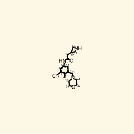 Cc1c(Cl)cc(NC(=O)CC2CNC2)cc1CN1CCOCC1